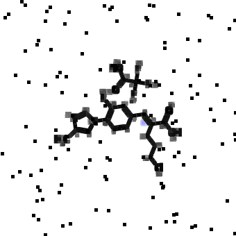 Cc1cn(-c2ccc(/C=C(\CCCCl)C(=O)O)cc2F)cn1.O=C(O)C(F)(F)F